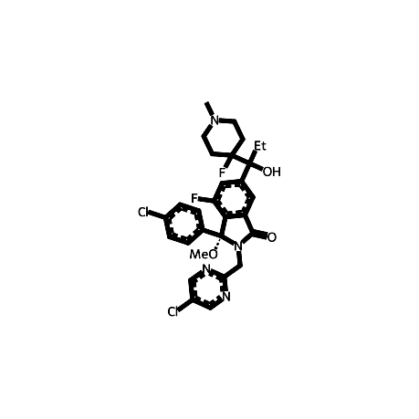 CCC(O)(c1cc(F)c2c(c1)C(=O)N(Cc1ncc(Cl)cn1)[C@@]2(OC)c1ccc(Cl)cc1)C1(F)CCN(C)CC1